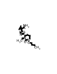 CCCCON1CCC[C@@H](c2nnc(C3(CN)CC3)o2)N(CC)C1=O